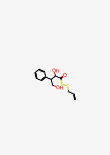 C=CCSSC(=O)C(O)C(CO)c1ccccc1